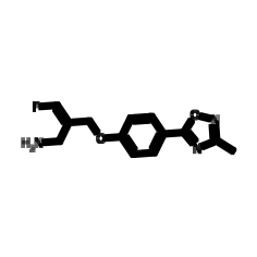 Cc1noc(-c2ccc(OC/C(=C/F)CN)cc2)n1